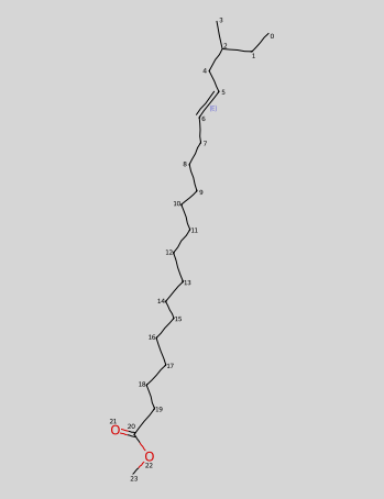 CCC(C)C/C=C/CCCCCCCCCCCCCC(=O)OC